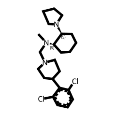 CN(CN1CCC(c2c(Cl)cccc2Cl)CC1)[C@H]1CCCC[C@@H]1N1CCCC1